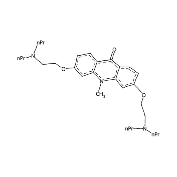 CCCN(CCC)CCOc1ccc2c(=O)c3ccc(OCCN(CCC)CCC)cc3n(C)c2c1